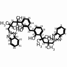 CC(C)(Cn1nc2ccccc2n1)CC(C)(C)c1cccc(Cc2cccc(C(C)(C)CC(C)(C)Cn3nc4ccccc4n3)c2O)c1O